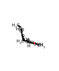 CC#CCNC(=O)OCCCCOCSSC(C)(C)CCOC(=O)NCCOCCOCCNC